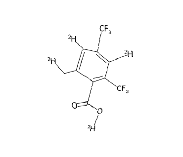 [2H]Cc1c([2H])c(C(F)(F)F)c([2H])c(C(F)(F)F)c1C(=O)O[2H]